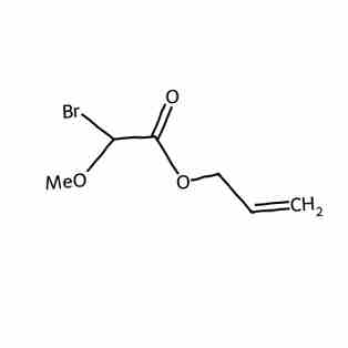 C=CCOC(=O)C(Br)OC